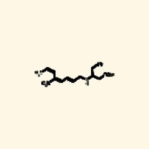 C\C=C/C(=C\C=C\CNC(COC)CC(C)C)[N+](=O)[O-]